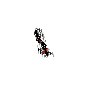 C[C@@H]1C2(OC3C=C4C5CCC6Cc7nc8c(nc7C[C@]6(C)C5C[C@@H](O)[C@]4(C)C31O)CC1CCC3C4=CC5OC6(CCC(C)(C)O6)[C@@H](C)C5[C@@]4(C)[C@H](O)CC3[C@@]1(C)C8)O[C@](C)(CO)C[C@H]2O